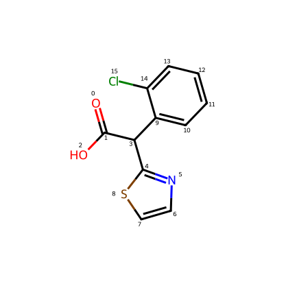 O=C(O)C(c1nccs1)c1ccccc1Cl